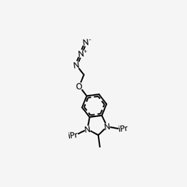 CC(C)N1c2ccc(OCN=[N+]=[N-])cc2N(C(C)C)C1C